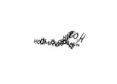 Cc1c(OCCCN2CCC(O)CC2)cccc1-c1cccc2c1CC[C@@H]2Oc1cc(OCc2cncc(C#N)c2)c(CNC2(C(=O)O)CCC2)cc1Cl